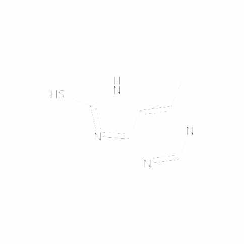 Cc1ncnc2nc(S)[nH]c12